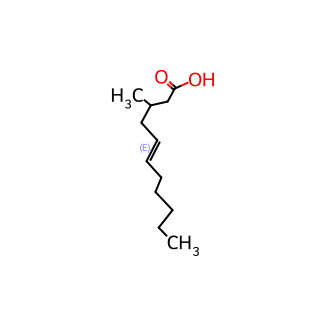 CCCCC/C=C/CC(C)CC(=O)O